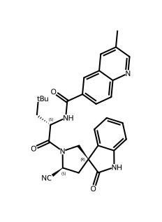 Cc1cnc2ccc(C(=O)N[C@@H](CC(C)(C)C)C(=O)N3C[C@]4(C[C@H]3C#N)C(=O)Nc3ccccc34)cc2c1